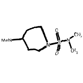 CNC1CCN(S(=O)(=O)N(C)C)CC1